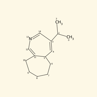 CC(C)C1=CC2CCCCCC2=CN=C1